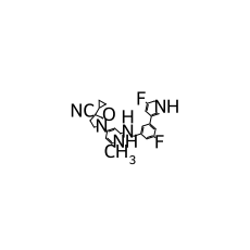 CC1=CC(N2CCC(C#N)(C3CC3)C2=O)=CC(NCc2cc(F)cc(C3=CNCC(F)=C3)c2)N1